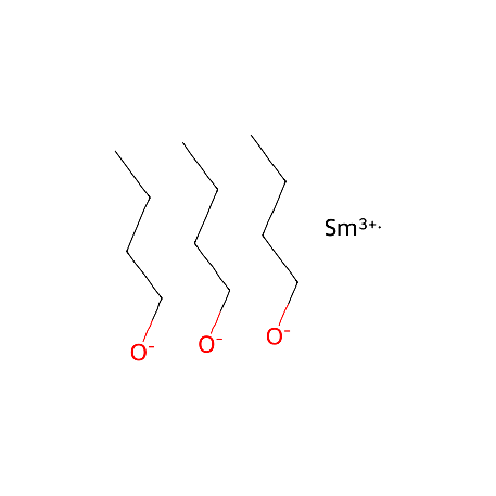 CCCC[O-].CCCC[O-].CCCC[O-].[Sm+3]